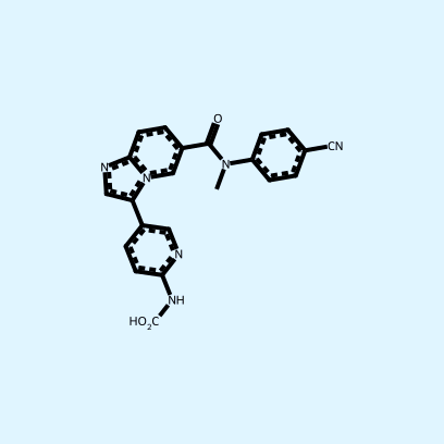 CN(C(=O)c1ccc2ncc(-c3ccc(NC(=O)O)nc3)n2c1)c1ccc(C#N)cc1